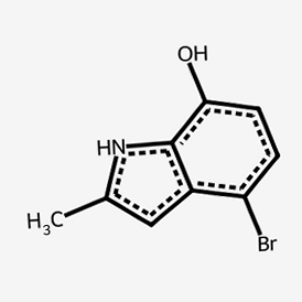 Cc1cc2c(Br)ccc(O)c2[nH]1